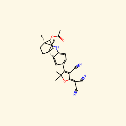 CC(=O)O[C@@H]1C[C@H]2CC[C@@H]1[C@@H]2Nc1ccc(C2=C(C#N)C(=C(C#N)C#N)OC2(C)C)cc1